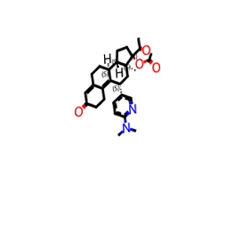 CC(=O)O[C@]1(C(C)=O)CC[C@H]2[C@@H]3CCC4=CC(=O)CCC4=C3[C@@H](c3ccc(N(C)C)nc3)C[C@@]21C